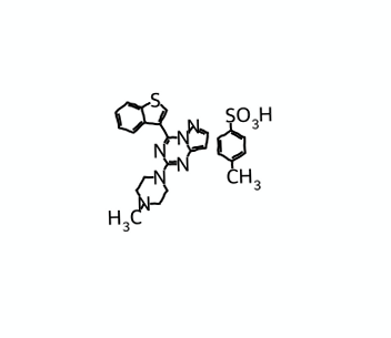 CN1CCN(c2nc(-c3csc4ccccc34)n3nccc3n2)CC1.Cc1ccc(S(=O)(=O)O)cc1